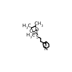 CC1O[Si](C)(CSCCC2CN3CCC2CC3)OC1C